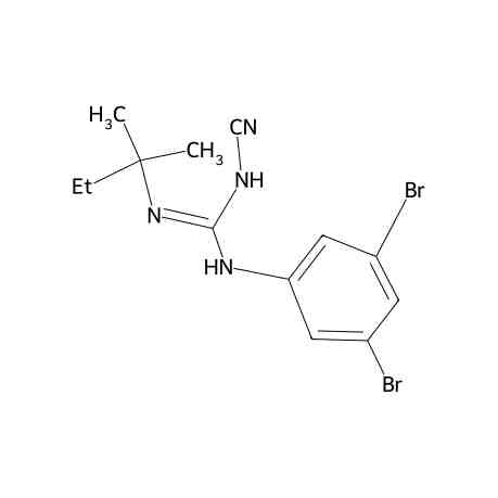 CCC(C)(C)/N=C(\NC#N)Nc1cc(Br)cc(Br)c1